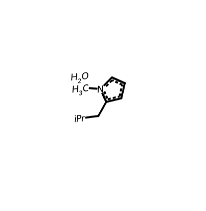 CC(C)Cc1cccn1C.O